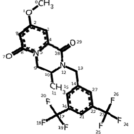 COc1cc2n(c(=O)c1)CC(C)N(Cc1cc(C(F)(F)F)cc(C(F)(F)F)c1)C2=O